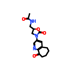 CC(=O)NCC1CN(c2cnc3c(c2)CCCCC3=O)C(=O)O1